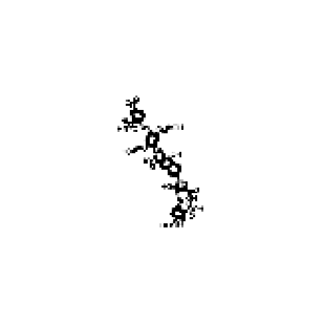 O=C(O)c1nn(-c2ccc3c(O)c(/N=N/c4cc(OCCO)c(/N=N/c5ccc([N+](=O)[O-])cc5S(=O)(=O)O)cc4OCCO)c(S(=O)(=O)O)cc3c2)c(O)c1/N=N/c1ccc(NO)cc1S(=O)(=O)O